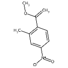 C=C(OC)c1ccc([N+](=O)[O-])cc1C